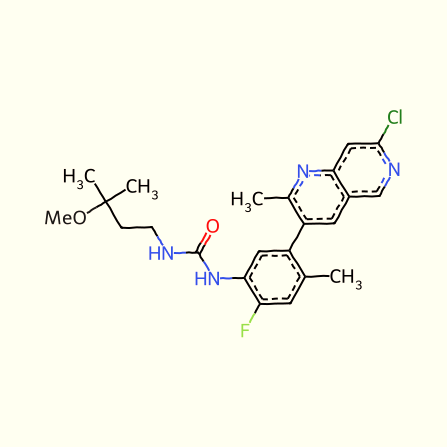 COC(C)(C)CCNC(=O)Nc1cc(-c2cc3cnc(Cl)cc3nc2C)c(C)cc1F